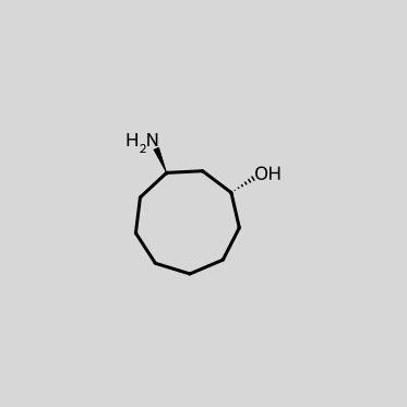 N[C@@H]1CCCCCC[C@@H](O)C1